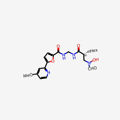 CCCCCC[C@H](CN(O)C=O)C(=O)NCNC(=O)c1ccc(-c2cc(OC)ccn2)o1